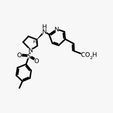 Cc1ccc(S(=O)(=O)N2CC[C@@H](Nc3ccc(C=CC(=O)O)cn3)C2)cc1